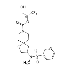 CN(C1COC2(CCN(C(=O)O[C@H](CO)C(F)(F)F)CC2)C1)S(=O)(=O)c1cccnc1